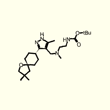 Cc1[nH]nc([C@H]2CC[C@@]3(CC2)CC(C)(C)CO3)c1CN(C)CCNC(=O)OC(C)(C)C